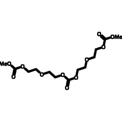 COC(=O)OCCOCCOC(=O)OCCOCCOC(=O)OC